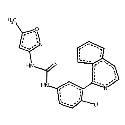 Cc1cc(NC(=S)Nc2ccc(Cl)c(-c3nccc4ccccc34)c2)no1